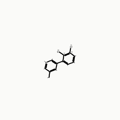 Cc1cncc(-c2cccc(Cl)c2Cl)c1